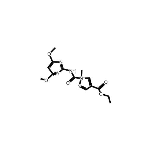 CCOC(=O)C1=C[N+](C)(C(=O)Nc2nc(OC)cc(OC)n2)N=C1